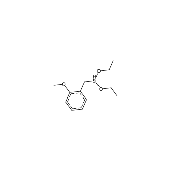 CCO[SiH](Cc1ccccc1OC)OCC